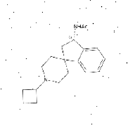 CC(=O)N[C@H]1CC2(CCN(C3CCC3)CC2)c2ccccc21